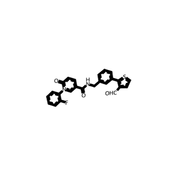 O=Cc1ccsc1-c1cccc(CNC(=O)c2ccc(=O)n(-c3ccccc3F)c2)c1